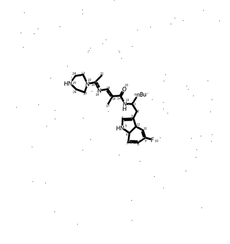 CCCCC(CC1=CNC2C=CC(F)=CC12)NC(=O)/C(C)=C/N=C(\C)N1CCNCC1